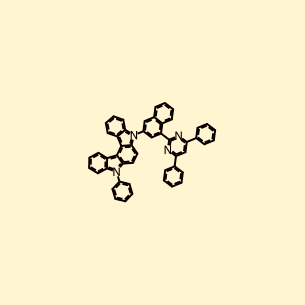 c1ccc(-c2cc(-c3ccccc3)nc(-c3cc(-n4c5ccccc5c5c6c7ccccc7n(-c7ccccc7)c6ccc54)cc4ccccc34)n2)cc1